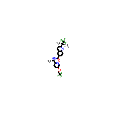 CC(NC(=O)c1ccc2nc(C(C)(C)C(F)(F)F)ccc2c1)c1ccc(OCC(F)(F)F)cn1